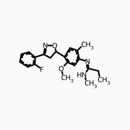 CCC(=Nc1cc(OC)c(C2CC(c3ccccc3F)=NO2)cc1C)NC